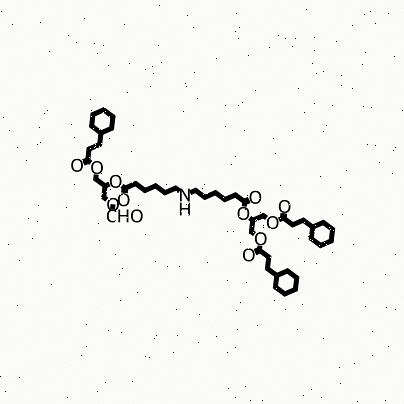 O=COCC(COC(=O)CCC1CCCCC1)OC(=O)CCCCCNCCCCCC(=O)OC(COC(=O)CCC1CCCCC1)COC(=O)CCC1CCCCC1